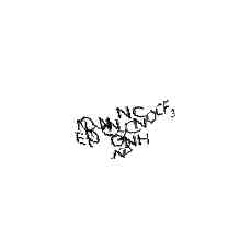 CCOc1ncccc1-c1ccc(C2(C(=O)NC3CCN(C)C3)CCN(c3ccc(C(F)(F)F)cc3C#N)CC2)nn1